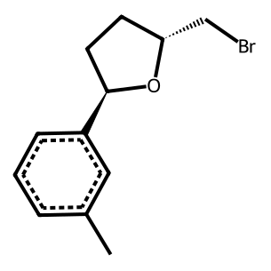 Cc1cccc([C@H]2CC[C@H](CBr)O2)c1